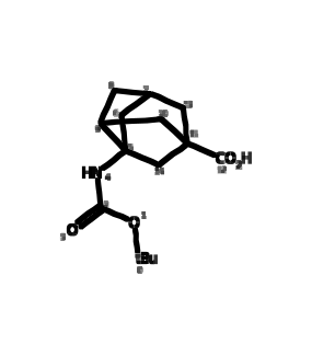 CC(C)(C)OC(=O)NC12CC3CC1CC(C(=O)O)(C3)C2